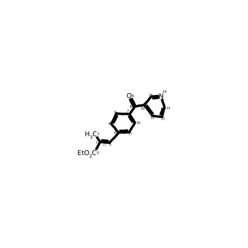 CCOC(=O)/C(C)=C/c1ccc(C(=O)c2cccnc2)cc1